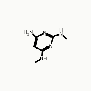 CNc1cc(N)nc(NC)n1